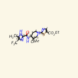 CCOC(=O)c1cnc(N2CC[C@@H](NC(=O)c3nc(C(F)(F)F)c(C)[nH]3)[C@@H](OC)C2)s1